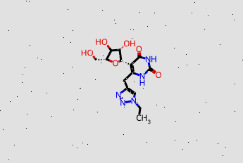 CCn1cc(Cc2[nH]c(=O)[nH]c(=O)c2[C@@H]2O[C@H](CO)C(O)[C@@H]2O)nn1